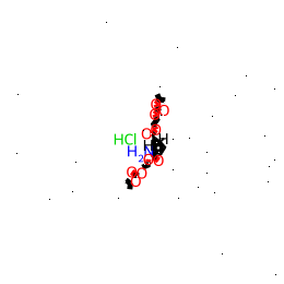 CC(C)OC(=O)OCCOC(=O)[C@H]1[C@@H]2CC[C@@](N)(C(=O)OCCOC(=O)OC(C)C)[C@@H]21.Cl